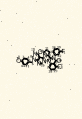 COc1ccc(CN2CN(C)C(=O)c3c2ncnc3N2CCCC2c2nc3cccc(Cl)c3c(=O)n2-c2cccc(F)c2)cc1